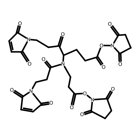 O=C(CCC(C(=O)CCN1C(=O)C=CC1=O)N(CCC(=O)ON1C(=O)CCC1=O)C(=O)CCN1C(=O)C=CC1=O)ON1C(=O)CCC1=O